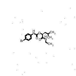 CCNC(=O)[C@H](CC(C)C)OC(=O)Nc1ccc(Br)cc1